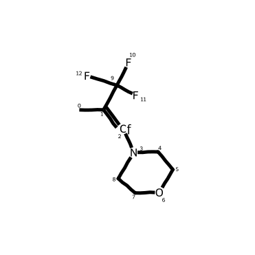 C[C](=[Cf][N]1CCOCC1)C(F)(F)F